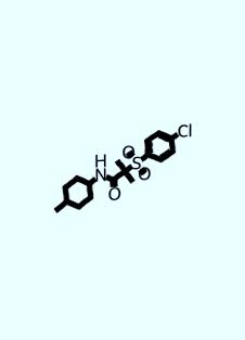 CC1CCC(NC(=O)C(C)(C)S(=O)(=O)c2ccc(Cl)cc2)CC1